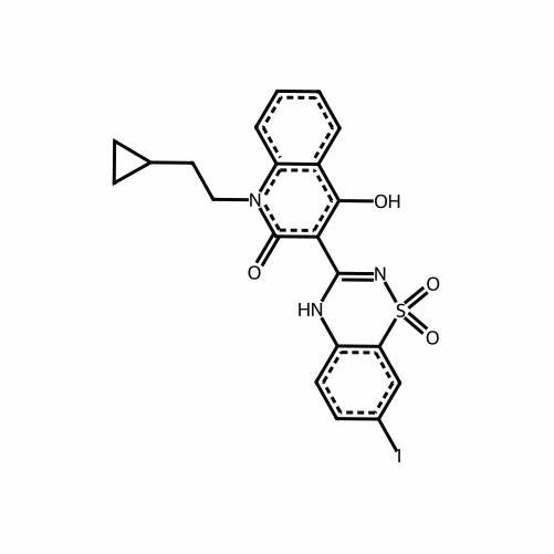 O=c1c(C2=NS(=O)(=O)c3cc(I)ccc3N2)c(O)c2ccccc2n1CCC1CC1